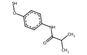 CC(C)C(=O)Nc1ccc(OS)cc1